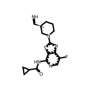 N=C[C@H]1CCCN(c2nc3c(F)cnc(NC(=O)C4CC4)c3s2)C1